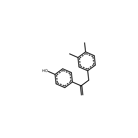 C=C(Cc1ccc(C)c(C)c1)c1ccc(O)cc1